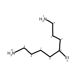 CCC(CCCN)CCCCN